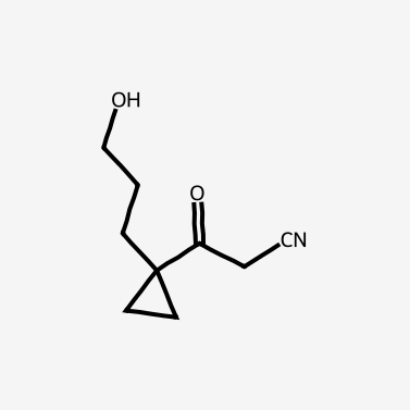 N#CCC(=O)C1(CCCO)CC1